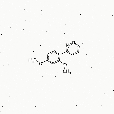 COc1ccc(-c2cccnn2)c(OC)c1